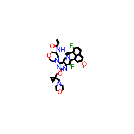 C#Cc1c(F)ccc2cc(OC)cc(-c3ncc4c(N5CCOC[C@H](NC(=O)C=C)C5)nc(OCC5(CN6CCOCC6)CC5)nc4c3F)c12